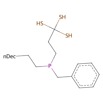 CCCCCCCCCCCCP(CCC(S)(S)S)Cc1ccccc1